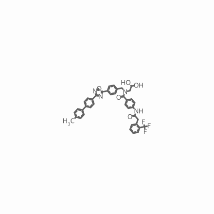 Cc1ccc(-c2ccc(-c3noc(-c4ccc(CN(CC(O)O)C(=O)c5ccc(NC(=O)Cc6ccccc6C(F)(F)F)cc5)cc4)n3)cc2)cc1